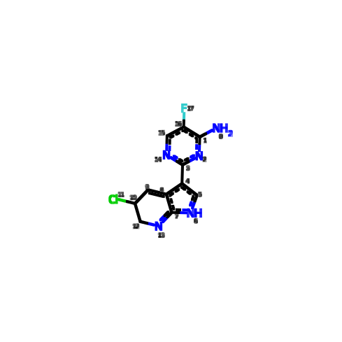 Nc1nc(-c2c[nH]c3c2=CC(Cl)CN=3)ncc1F